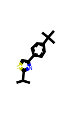 CC(C)c1nc(-c2ccc(C(C)(C)C)cc2)cs1